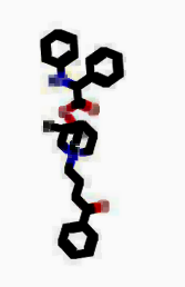 O=C(CCC[N+]12CCC(CC1)[C@@H](OC(=O)C(Nc1ccccc1)c1ccccc1)C2)c1ccccc1